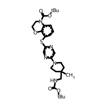 CC1(CNC(=O)OC(C)(C)C)CCN(c2cnc(Sc3cccc4c3OCCN4C(=O)OC(C)(C)C)cn2)CC1